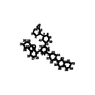 C=N/C=C(\C=C/C)c1cccc(-c2cc(-c3cccc4c3oc3ccccc34)nc(-c3ccc(-c4ccc5ccccc5c4)cc3)n2)c1